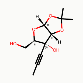 CC#C[C@@]1(O)[C@@H](CO)O[C@@H]2OC(C)(C)O[C@@H]21